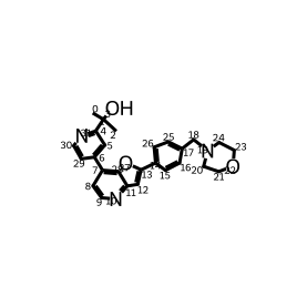 CC(C)(O)c1cc(-c2ccnc3cc(-c4ccc(CN5CCOCC5)cc4)oc23)ccn1